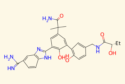 CC[C@H](O)C(=O)NCc1ccc(O)c(-c2cc(C(C)(C)C(N)=O)cc(-c3nc4cc(C(=N)N)ccc4[nH]3)c2O)c1